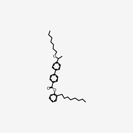 CCCCCCCCc1ccccc1OC(=O)c1ccc(-c2ccc(C(C)OCCCCCCC)cc2)cc1